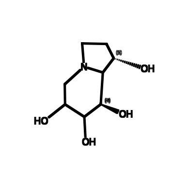 OC1CN2CC[C@H](O)C2[C@@H](O)C1O